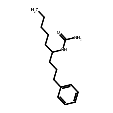 CCCCCC(CCCc1ccccc1)NC(N)=O